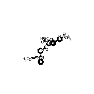 COCCCn1c([C@@H]2CCCN(C(=O)C[C@@H](Cc3ccc(-c4ccc(N(C)C)nc4)cc3)N(C(=O)O)C(C)(C)C)C2)nc2ccccc21